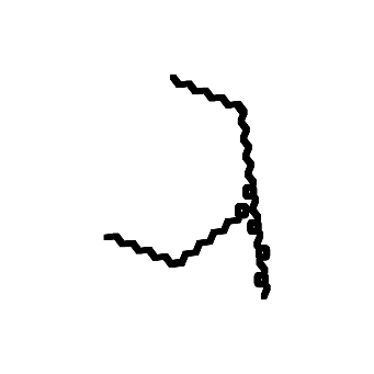 CCCCCCCC/C=C\CCCCCCCCOCC(COCCOCCOCC)OCCCCCCCC/C=C\CCCCCCCC